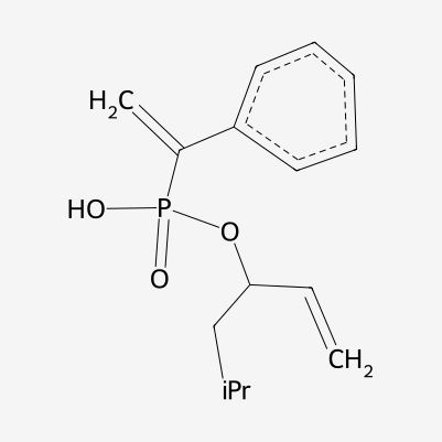 C=CC(CC(C)C)OP(=O)(O)C(=C)c1ccccc1